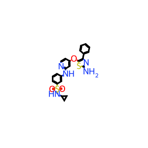 Nc1nc(-c2ccccc2)c(Oc2ccnc(Nc3cccc(S(=O)(=O)NC4CC4)c3)c2)s1